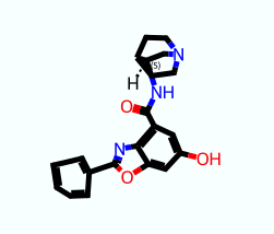 O=C(N[C@@H]1CN2CCC1CC2)c1cc(O)cc2oc(-c3ccccc3)nc12